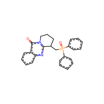 O=c1c2ccccc2nc2n1CCCC2CP(=O)(c1ccccc1)c1ccccc1